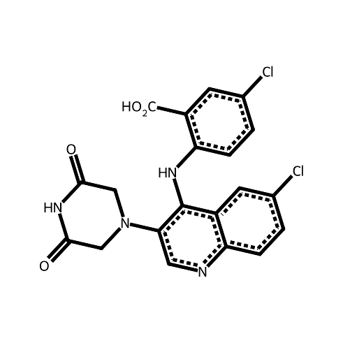 O=C1CN(c2cnc3ccc(Cl)cc3c2Nc2ccc(Cl)cc2C(=O)O)CC(=O)N1